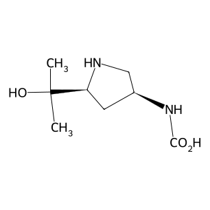 CC(C)(O)[C@@H]1C[C@H](NC(=O)O)CN1